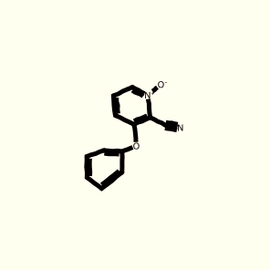 N#Cc1c(Oc2ccccc2)ccc[n+]1[O-]